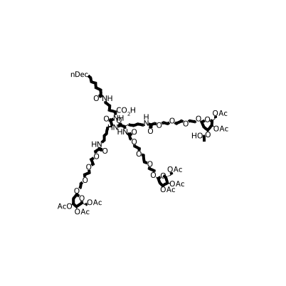 CCCCCCCCCCCCCCCC(=O)NCCC[C@H](NC(=O)[C@H](CCCCNC(=O)COCCOCCOCCO[C@H]1C[C@@H](OC(C)=O)[C@@H](OC(C)=O)[C@@H](COC(C)=O)O1)NC(=O)[C@H](CCCCNC(=O)COCCOCCOCCO[C@H]1C[C@@H](OC(C)O)[C@@H](OC(C)=O)[C@@H](COC(C)=O)O1)NC(=O)COCCOCCOCCO[C@H]1C[C@@H](OC(C)=O)[C@@H](OC(C)=O)[C@@H](COC(C)=O)O1)C(=O)O